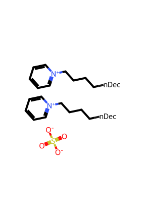 CCCCCCCCCCCCCC[n+]1ccccc1.CCCCCCCCCCCCCC[n+]1ccccc1.O=S(=O)([O-])[O-]